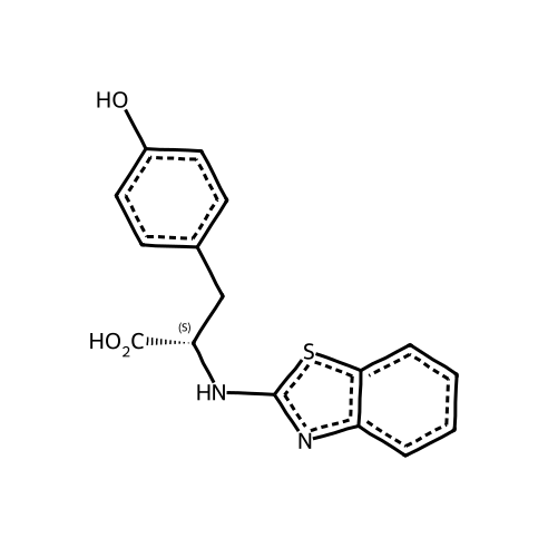 O=C(O)[C@H](Cc1ccc(O)cc1)Nc1nc2ccccc2s1